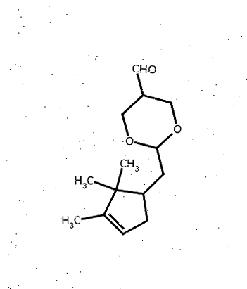 CC1=CCC(CC2OCC(C=O)CO2)C1(C)C